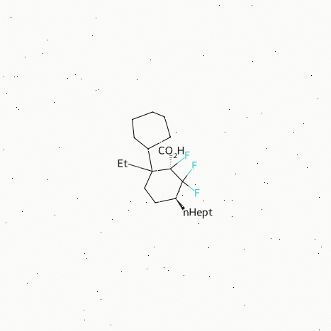 CCCCCCC[C@H]1CCC(CC)(C2CCCCC2)[C@](F)(C(=O)O)C1(F)F